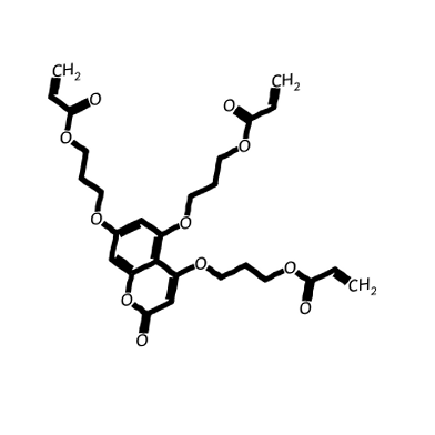 C=CC(=O)OCCCOc1cc(OCCCOC(=O)C=C)c2c(OCCCOC(=O)C=C)cc(=O)oc2c1